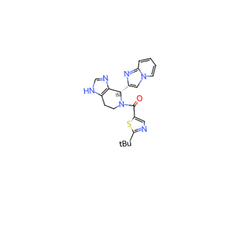 CC(C)(C)c1ncc(C(=O)N2CCc3[nH]cnc3[C@@H]2c2cn3ccccc3n2)s1